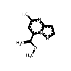 C=C(OC)c1cc(C)nc2ccnn12